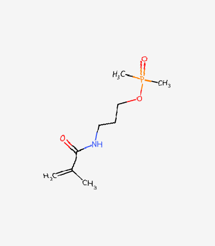 C=C(C)C(=O)NCCCOP(C)(C)=O